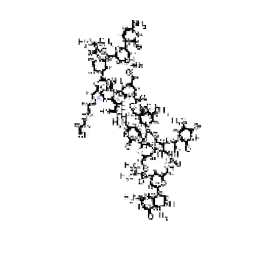 C/C=N\C(=C(\C)C(C)=N)N(C=N)C(CC)OC(CNP(=O)(OCC1CN([PH](=O)OCC(CN[PH](=O)OCC2CN(P(=O)(OCC3CN(C)CC(n4ccc(N)nc4=O)O3)N(C)C)CC(N(C=N)c3nc(N)[nH]c(=O)c3C)O2)OC(CC)n2cc(C)c(=O)[nH]c2=O)CC(C)O1)N(C)C)CO[PH](=O)N1CC(COP(=O)(N(C)C)N2CCN(C(=O)OCCOCCOCCO)CC2)OC(n2ccc(N)nc2=O)C1